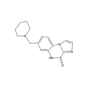 O=c1[nH]c2cc(CN3CCCCC3)ccc2n2ccnc12